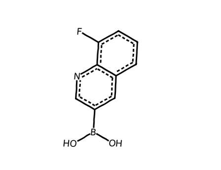 OB(O)c1cnc2c(F)cccc2c1